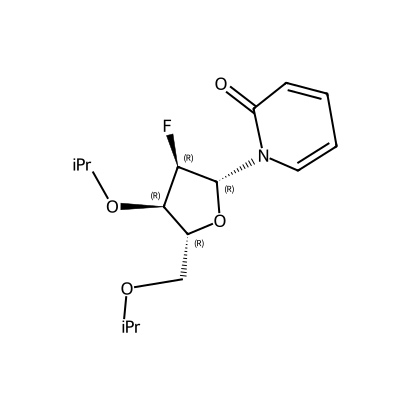 CC(C)OC[C@H]1O[C@@H](n2ccccc2=O)[C@H](F)[C@@H]1OC(C)C